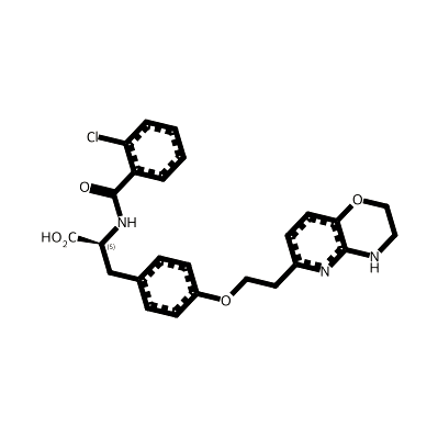 O=C(N[C@@H](Cc1ccc(OCCc2ccc3c(n2)NCCO3)cc1)C(=O)O)c1ccccc1Cl